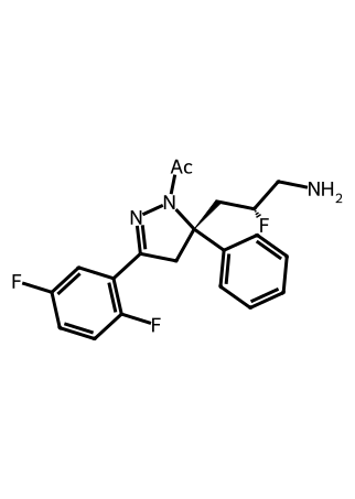 CC(=O)N1N=C(c2cc(F)ccc2F)C[C@@]1(C[C@@H](F)CN)c1ccccc1